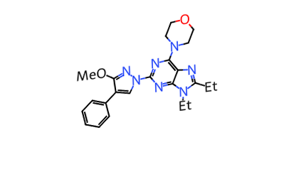 CCc1nc2c(N3CCOCC3)nc(-n3cc(-c4ccccc4)c(OC)n3)nc2n1CC